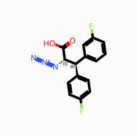 [N-]=[N+]=N[C@H](C(=O)O)[C@H](c1ccc(F)cc1)c1cccc(F)c1